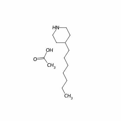 CC(=O)O.CCCCCCCC1CCNCC1